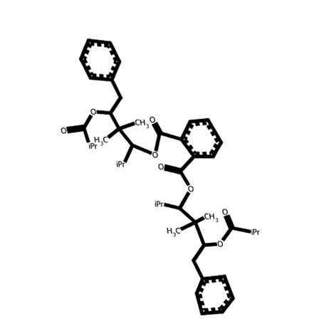 CC(C)C(=O)OC(Cc1ccccc1)C(C)(C)C(OC(=O)c1ccccc1C(=O)OC(C(C)C)C(C)(C)C(Cc1ccccc1)OC(=O)C(C)C)C(C)C